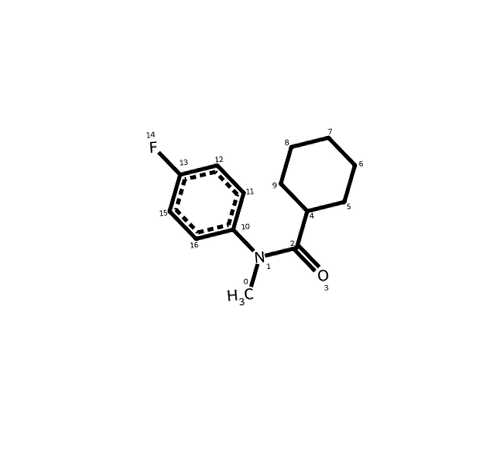 CN(C(=O)C1CCCCC1)c1ccc(F)cc1